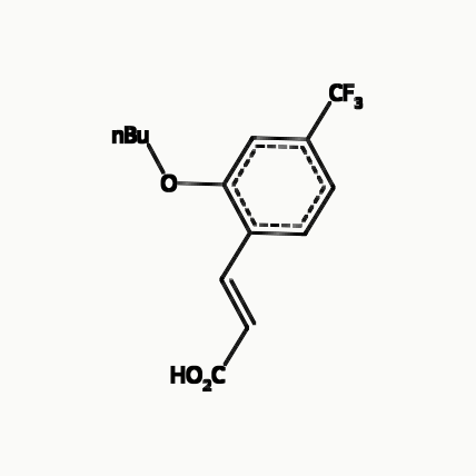 CCCCOc1cc(C(F)(F)F)ccc1/C=C/C(=O)O